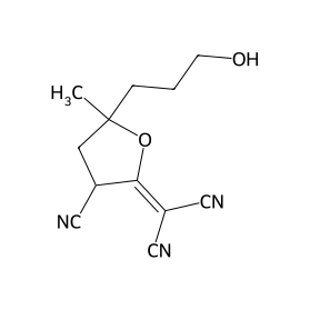 CC1(CCCO)CC(C#N)C(=C(C#N)C#N)O1